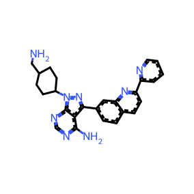 NCC1CCC(n2nc(-c3ccc4ccc(-c5ccccn5)nc4c3)c3c(N)ncnc32)CC1